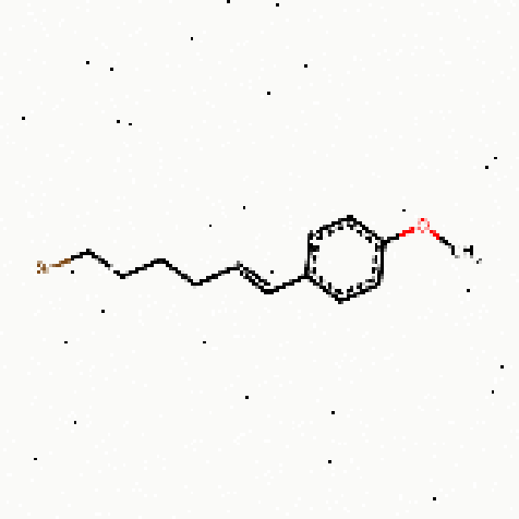 COc1ccc(/C=C/CCCCBr)cc1